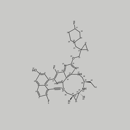 C#Cc1c(F)ccc2cc(O)cc(-c3nc4c5c(nc(OCC6(CN7CCC(F)CC7)CC6)nc5c3F)NC[C@@H](CC)N[C@H]3C[C@@H]3CO4)c12